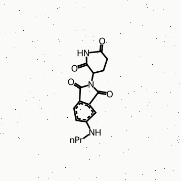 CCCNc1ccc2c(c1)C(=O)N(C1CCC(=O)NC1=O)C2=O